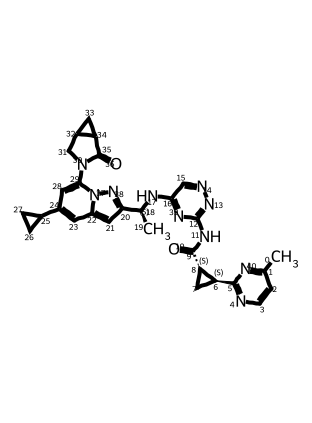 Cc1ccnc([C@H]2C[C@@H]2C(=O)Nc2nncc(N[C@@H](C)c3cc4cc(C5CC5)cc(N5CC6CC6C5=O)n4n3)n2)n1